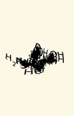 CC(O/N=C(\C(=O)N[C@@H]1C(=O)N(OS(=O)(=O)O)C1(C)C)c1csc(N)n1)(C(=O)O)[C@H]1CCc2cc(C(=N)N[C@H]3CCN[C@H](CO)C3)ccc2O1